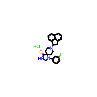 Cl.O=C1NCN(c2cccc(Cl)c2)C12CCN(C1Cc3cccc4cccc1c34)CC2